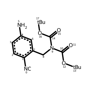 [C-]#[N+]c1ccc(N)cc1CN(C(=O)OC(C)(C)C)C(=O)OC(C)(C)C